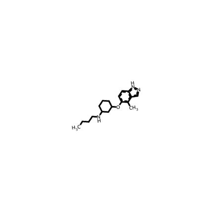 CCCCNC1CCCC(Oc2ccc3[nH]ncc3c2C)C1